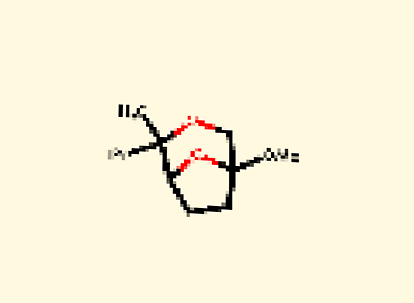 CCCC1(C)OCC2(OC)CCC1O2